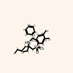 CCCC[C@]1(CC)CS(=O)(=O)c2cc(C)c(C)cc2[C@@H](c2ccccc2)N1